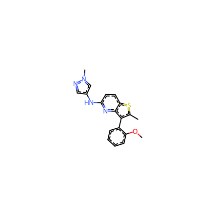 COc1ccccc1-c1c(C)sc2ccc(Nc3cnn(C)c3)nc12